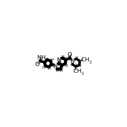 C[C@@H]1C[C@H](C)CN(C(=O)c2cnc3c(ccn3-c3ccc(C(N)=O)cc3)c2)C1